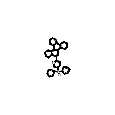 O=P(c1ccccc1)(c1ccccc1)c1ccc(-c2cc3c4ccccc4c4ccccc4c3c3ccccc23)nc1